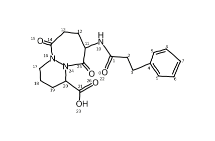 O=C(CCc1ccccc1)NC1CCC(=O)N2CCCC(C(=O)O)N2C1=O